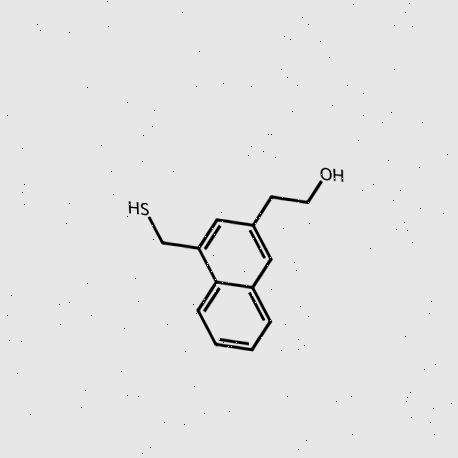 OCCc1cc(CS)c2ccccc2c1